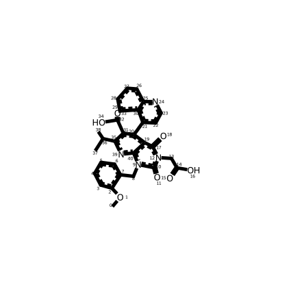 COc1ccccc1Cn1c(=O)n(CC(=O)O)c(=O)c2c(-c3ccnc4ccccc34)c(C(=O)O)c(C(C)C)nc21